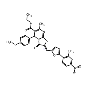 CCOC(=O)C1=C(C)N=c2s/c(=C\c3ccc(-c4ccc([N+](=O)[O-])cc4C)o3)c(=O)n2C1c1ccc(SC)cc1